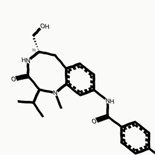 Cc1ccc(C(=O)Nc2ccc3c(c2)N(C)C(C(C)C)C(=O)N[C@H](CO)C3)cc1